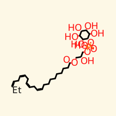 CC/C=C\C/C=C\C/C=C\C/C=C\CCCCCCCCC(=O)OCC(O)COP(=O)(O)OC1C(O)C(O)C(O)C(O)C1O